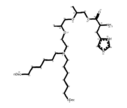 CCCCCCCCCCCCCCCCN(CCCCCCCCCCCCCCCC)CCOC(C)COC(C)COC(=O)C(N)Cc1cnc[nH]1